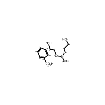 CCCCN(OCCO)OCCO.O=C(O)c1ccccc1